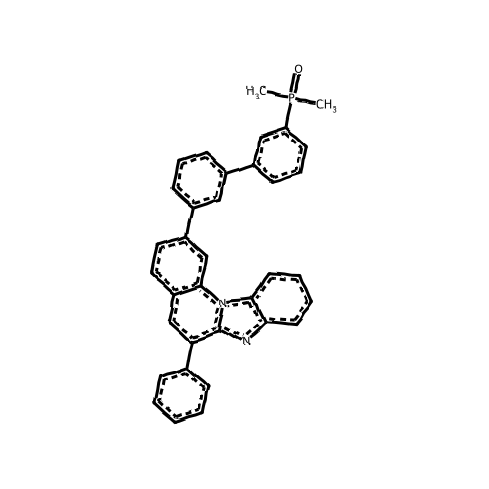 CP(C)(=O)c1cccc(-c2cccc(-c3ccc4cc(-c5ccccc5)c5nc6ccccc6n5c4c3)c2)c1